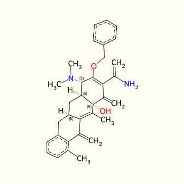 C=C(N)C1=C(OCc2ccccc2)[C@@H](N(C)C)[C@@H]2C[C@@H]3Cc4cccc(C)c4C(=C)C3=C(C)[C@]2(O)C1=C